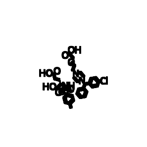 Cc1ccc(S(=O)(=O)N[C@@H](CCC(=O)O)C(=O)O)cc1.O=C(O)COCCN1CCN(C(c2ccccc2)c2ccc(Cl)cc2)CC1